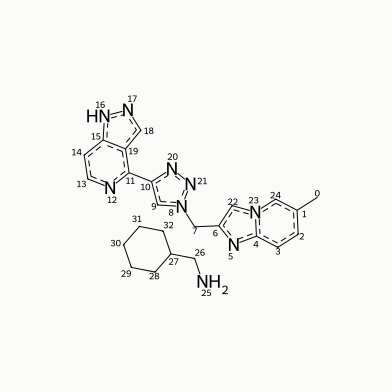 Cc1ccc2nc(Cn3cc(-c4nccc5[nH]ncc45)nn3)cn2c1.NCC1CCCCC1